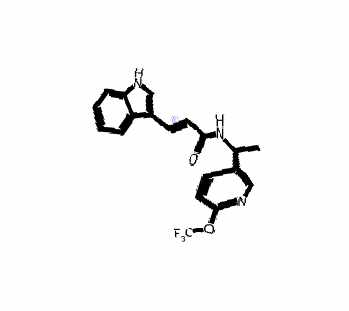 CC(NC(=O)/C=C/c1c[nH]c2ccccc12)c1ccc(OC(F)(F)F)nc1